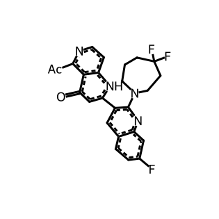 CC(=O)c1nccc2[nH]c(-c3cc4ccc(F)cc4nc3N3CCCC(F)(F)CC3)cc(=O)c12